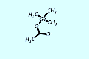 CC([O])[O][Ge]([CH3])([CH3])[CH3]